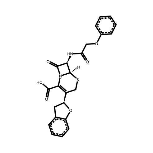 O=C(COc1ccccc1)N[C@@H]1C(=O)N2C(C(=O)O)=C([C@@H]3Cc4ccccc4O3)CS[C@H]12